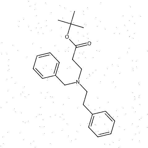 CC(C)(C)OC(=O)CCN(CCc1ccccc1)Cc1ccccc1